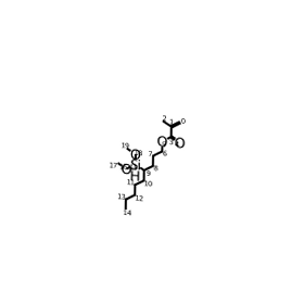 C=C(C)C(=O)OCCCC(CCCCC)[SiH](OC)OC